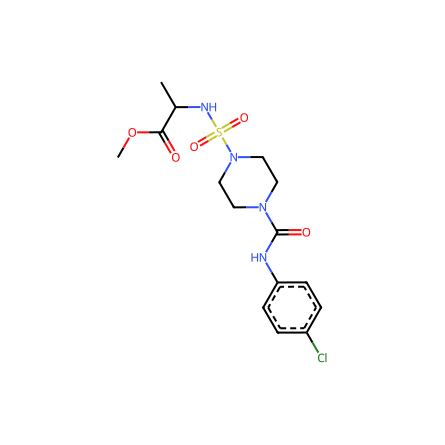 COC(=O)C(C)NS(=O)(=O)N1CCN(C(=O)Nc2ccc(Cl)cc2)CC1